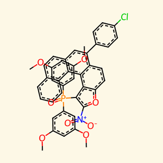 COc1cc(OC)cc(P(=O)(c2cc(OC)cc(OC)c2)c2c([N+](=O)[O-])oc3ccc4c(-c5ccc(Cl)cc5)cc5ccc6ccccc6c5c4c23)c1